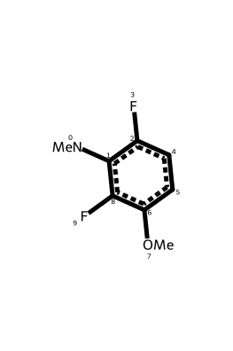 CNc1c(F)ccc(OC)c1F